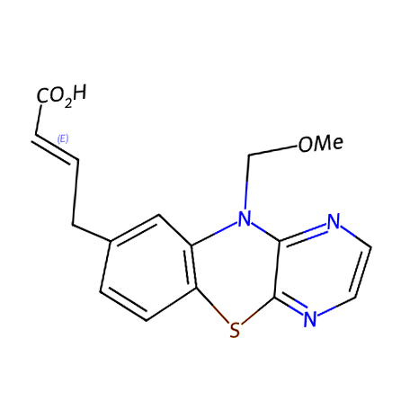 COCN1c2cc(C/C=C/C(=O)O)ccc2Sc2nccnc21